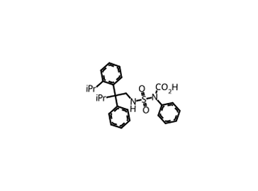 CC(C)c1ccccc1C(CNS(=O)(=O)N(C(=O)O)c1ccccc1)(c1ccccc1)C(C)C